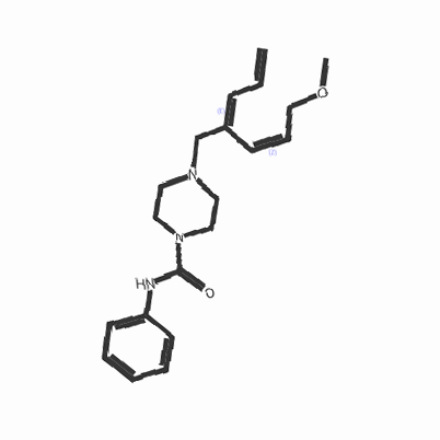 C=C/C=C(\C=C/COC)CN1CCN(C(=O)Nc2ccccc2)CC1